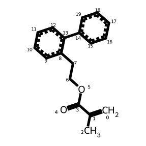 C=C(C)C(=O)OCCc1ccccc1-c1ccccc1